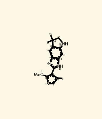 COc1scc(C)c1-c1nc2cc3c(cc2[nH]1)NCC3(C)C